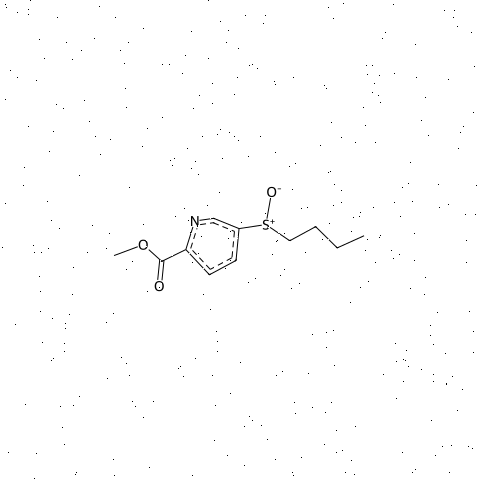 CCCC[S+]([O-])c1ccc(C(=O)OC)nc1